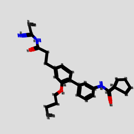 CNC(=N)NC(=O)CCc1ccc(-c2cccc(NC(=O)C3CCCC3)c2)c(OCCCOC)c1